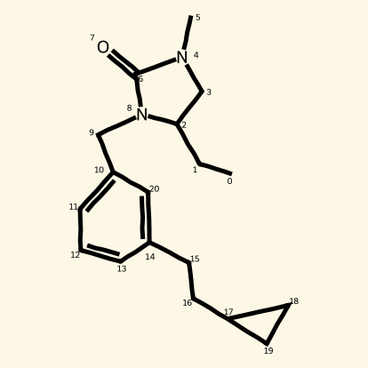 CCC1CN(C)C(=O)N1Cc1cccc(CCC2CC2)c1